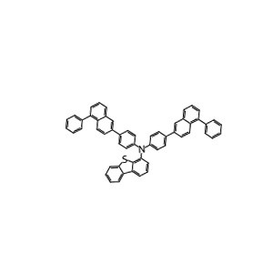 c1ccc(-c2cccc3cc(-c4ccc(N(c5ccc(-c6ccc7c(-c8ccccc8)cccc7c6)cc5)c5cccc6c5sc5ccccc56)cc4)ccc23)cc1